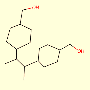 CC(C1CCC(CO)CC1)C(C)C1CCC(CO)CC1